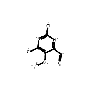 COc1c(Cl)nc(Cl)nc1C=O